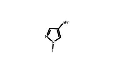 CCCc1cnn(I)c1